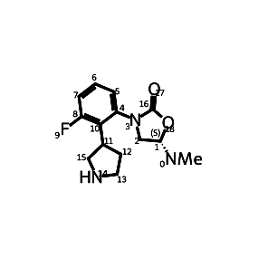 CN[C@@H]1CN(c2cccc(F)c2C2CCNC2)C(=O)O1